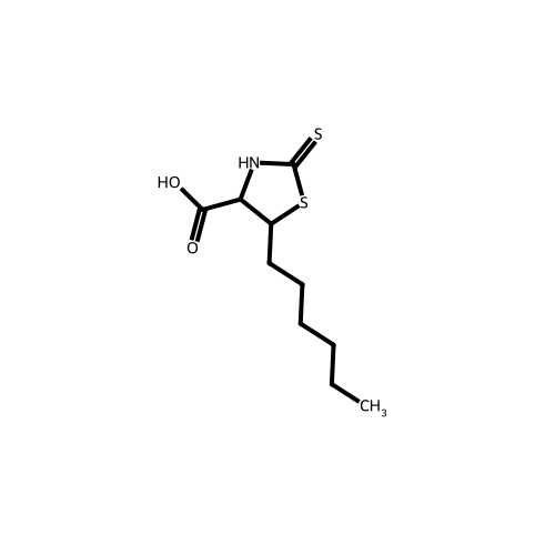 CCCCCCC1SC(=S)NC1C(=O)O